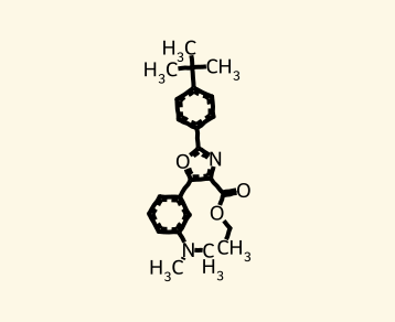 CCOC(=O)c1nc(-c2ccc(C(C)(C)C)cc2)oc1-c1cccc(N(C)C)c1